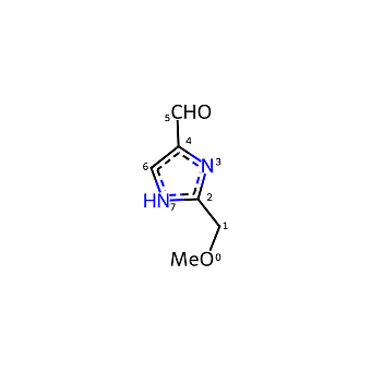 COCc1nc(C=O)c[nH]1